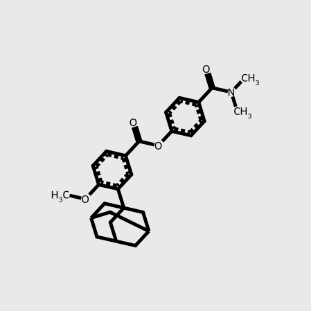 COc1ccc(C(=O)Oc2ccc(C(=O)N(C)C)cc2)cc1C12CC3CC(CC(C3)C1)C2